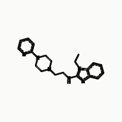 CCn1c(NCCN2CCN(c3ccccn3)CC2)nc2ccccc21